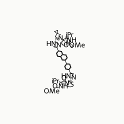 COC(=O)N[C@@H](C(C)C)C(C)N1CC2(CC2)C[C@H]1c1nc(-c2ccc3cc(-c4ccc(-c5cnc([C@@H]6SCCN6C(=O)[C@@H](NC(=O)OC)C(C)C)[nH]5)cc4)ccc3c2)c[nH]1